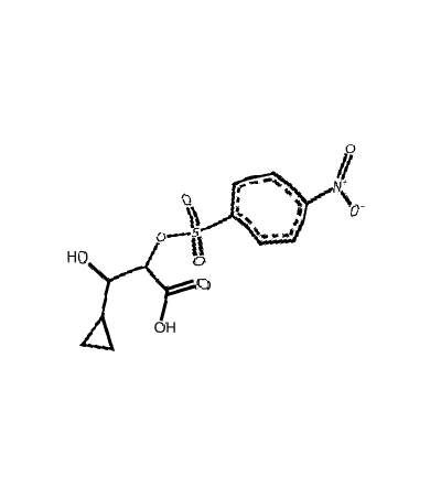 O=C(O)C(OS(=O)(=O)c1ccc([N+](=O)[O-])cc1)C(O)C1CC1